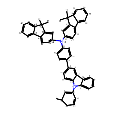 CC1C=C(n2c3ccccc3c3cc(-c4ccc(N(c5ccc6c(c5)C(C)(C)c5ccccc5-6)c5ccc6c(c5)C(C)(C)c5ccccc5-6)cc4)ccc32)C=CC1